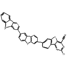 N#Cc1nc(Cl)nc2c1oc1cc(-c3ccc4c(c3)sc3ccc(-c5ccc6c(c5)sc5ccccc56)cc34)ccc12